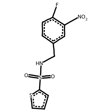 O=[N+]([O-])c1cc(CNS(=O)(=O)c2cccs2)ccc1F